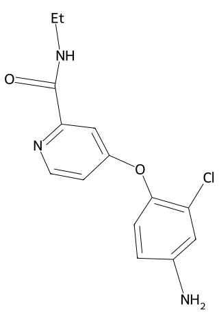 CCNC(=O)c1cc(Oc2ccc(N)cc2Cl)ccn1